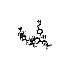 CN(C)CCC1CCC(NC2=CC(N)(c3nc(-c4cnn(S(=O)(=O)C5CC5)c4)ncc3F)NC=C2c2ccn(C(F)F)n2)CC1